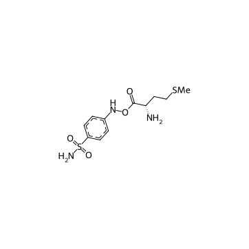 CSCC[C@H](N)C(=O)ONc1ccc(S(N)(=O)=O)cc1